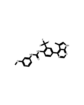 COc1cccc(NC(=O)Nc2ccc(-c3ncnc4[nH]cc(C)c34)cc2C(F)(F)F)c1